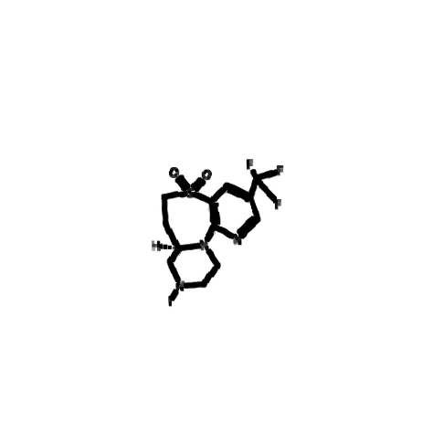 O=S1(=O)CC[C@@H]2CN(I)CCN2c2ncc(C(F)(F)F)cc21